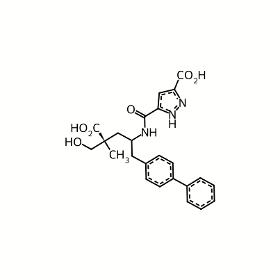 C[C@](CO)(CC(Cc1ccc(-c2ccccc2)cc1)NC(=O)c1cc(C(=O)O)n[nH]1)C(=O)O